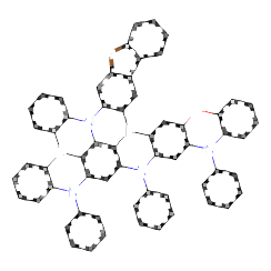 c1ccc(N2c3ccccc3Oc3cc4c(cc32)N(c2ccccc2)c2cc3c5c6c2B4c2cc4c(cc2N6c2ccccc2B5c2ccccc2N3c2ccccc2)sc2ccccc24)cc1